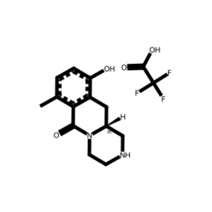 Cc1ccc(O)c2c1C(=O)N1CCNC[C@H]1C2.O=C(O)C(F)(F)F